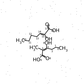 CCC/C(O)=C(/C)C(=O)O.CCCC/C=C(\O)C(=O)O